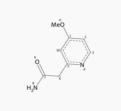 COc1ccnc([CH]C(N)=O)c1